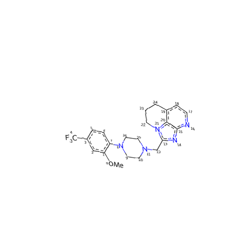 COc1cc(C(F)(F)F)ccc1N1CCN(Cc2nc3nccc4c3n2CCC4)CC1